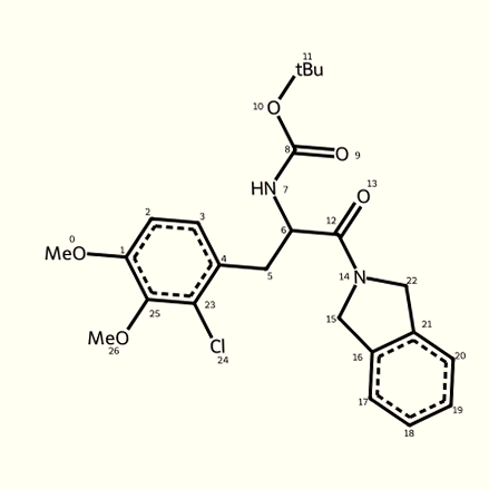 COc1ccc(CC(NC(=O)OC(C)(C)C)C(=O)N2Cc3ccccc3C2)c(Cl)c1OC